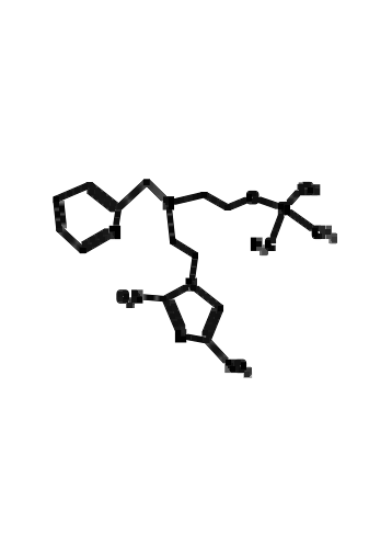 CC(C)(C)[Si](C)(C)OCCN(CCn1cc([N+](=O)[O-])nc1[N+](=O)[O-])Cc1ccccn1